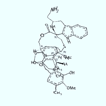 COc1c(C)cc2c(c1O)[C@H]1[C@@H]3[C@@H]4SC[C@]5(NC(CN)Cc6c5[nH]c5ccccc65)C(=O)OC[C@@H](c5c6c(c(C)c(OC(C)=O)c54)OCO6)N3C(O)(C2)CN1C